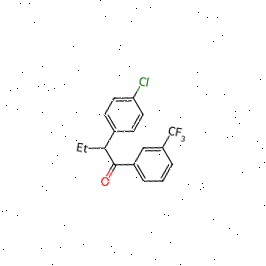 CCC(C(=O)c1cccc(C(F)(F)F)c1)c1ccc(Cl)cc1